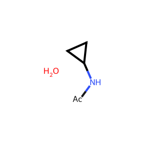 CC(=O)NC1CC1.O